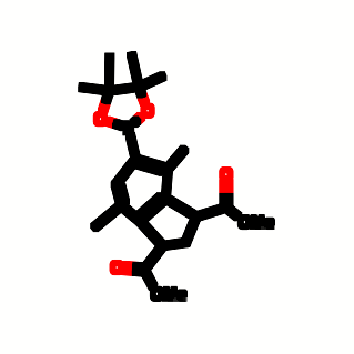 COC(=O)C1CC(C(=O)OC)c2c(C)c(B3OC(C)(C)C(C)(C)O3)cc(C)c21